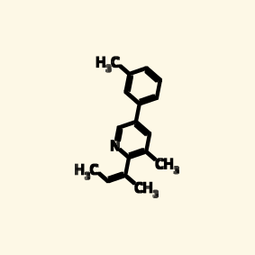 C/C=C(/C)c1ncc(-c2cccc(C)c2)cc1C